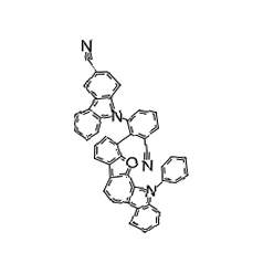 N#Cc1ccc2c(c1)c1ccccc1n2-c1cccc(C#N)c1-c1cccc2c1oc1c2ccc2c3ccccc3n(-c3ccccc3)c21